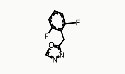 Fc1cccc(F)c1Cc1nnco1